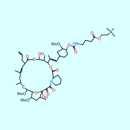 C=CCC1/C=C(/C)CC(C)CC(OC)C2OC(O)(C(=O)C(=O)N3CCCCC3C(=O)OC(/C(C)=C/C3CCC(OC(=O)NCCCC(=O)OCC[Si](C)(C)C)C(OC)C3)C(C)C(O)CC1=O)C(C)CC2OC